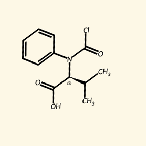 CC(C)[C@@H](C(=O)O)N(C(=O)Cl)c1ccccc1